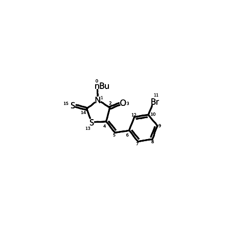 CCCCN1C(=O)/C(=C\c2cccc(Br)c2)SC1=S